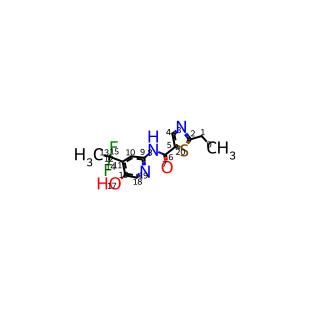 CCc1ncc(C(=O)Nc2cc(C(C)(F)F)c(O)cn2)s1